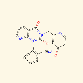 N#Cc1ccccc1-n1c(=O)n(CC2=CC(=O)CC=N2)c(=O)c2cccnc21